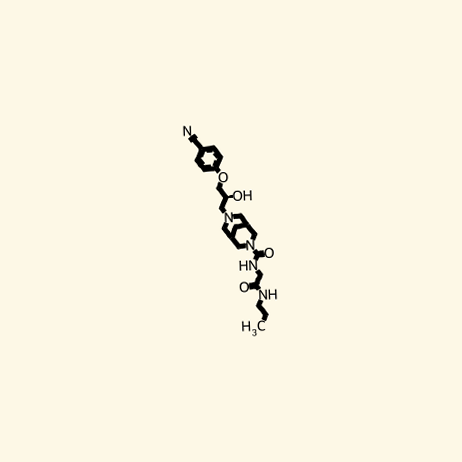 CCCNC(=O)CNC(=O)N1CC2CC(CN(C[C@H](O)COc3ccc(C#N)cc3)C2)C1